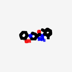 Cc1cccc(C)c1NC(=O)C1(N)CCN([C@@H]2CCCC[C@H]2O)CC1